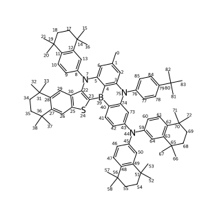 Cc1cc2c3c(c1)N(c1ccc4c(c1)C(C)(C)CCC4(C)C)c1c(sc4cc5c(cc14)C(C)(C)CCC5(C)C)B3c1ccc(N(c3ccc4c(c3)C(C)(C)CCC4(C)C)c3ccc4c(c3)C(C)(C)CCC4(C)C)cc1N2c1ccc(C(C)(C)C)cc1